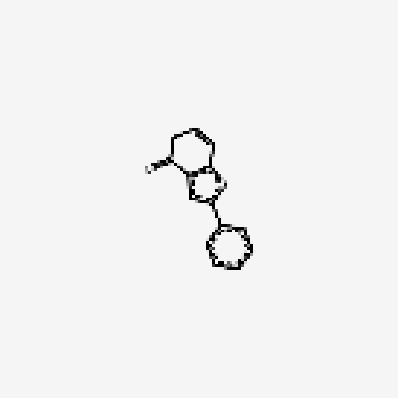 O=C1CC=Cc2sc(-c3ccccc3)cc21